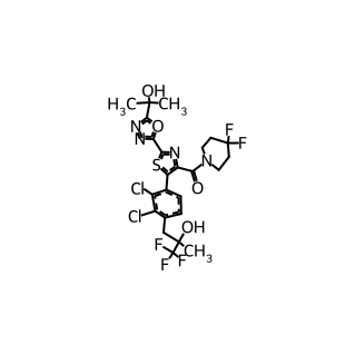 CC(C)(O)c1nnc(-c2nc(C(=O)N3CCC(F)(F)CC3)c(-c3ccc(CC(C)(O)C(F)(F)F)c(Cl)c3Cl)s2)o1